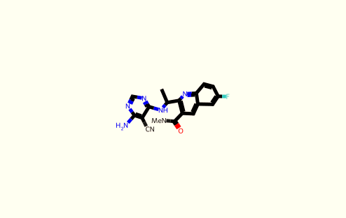 CNC(=O)c1cc2cc(F)ccc2nc1C(C)Nc1ncnc(N)c1C#N